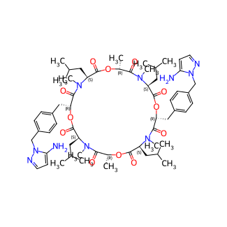 CC(C)C[C@H]1C(=O)O[C@H](Cc2ccc(Cn3nccc3N)cc2)C(=O)N(C)[C@@H](CC(C)C)C(=O)O[C@H](C)C(=O)N(C)[C@@H](CC(C)C)C(=O)O[C@H](Cc2ccc(Cn3nccc3N)cc2)C(=O)N(C)[C@@H](CC(C)C)C(=O)O[C@H](C)C(=O)N1C